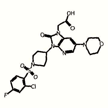 O=C(O)Cn1c(=O)n(C2CCN(S(=O)(=O)c3ccc(F)cc3Cl)CC2)c2ncc(N3CCOCC3)cc21